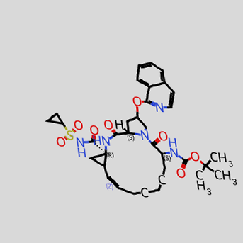 CC(C)(C)OC(=O)N[C@H]1CCCCC/C=C\C2C[C@@]2(C(=O)NS(=O)(=O)C2CC2)NC(=O)[C@@H]2CC(Oc3nccc4ccccc34)CN2C1=O